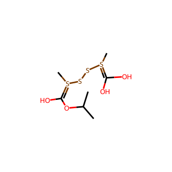 CC(C)OC(O)=S(C)SSS(C)=C(O)O